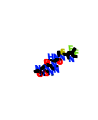 Cc1nc(Cn2c(=O)c3c(ncn3[C@@H](C)C(=O)Nc3csc(-c4cnc(C)c(C(C)(F)F)c4)n3)n(C)c2=O)no1